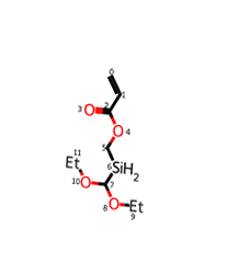 C=CC(=O)OC[SiH2]C(OCC)OCC